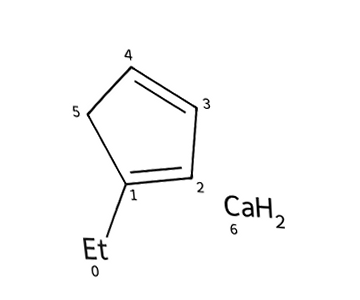 CCC1=CC=CC1.[CaH2]